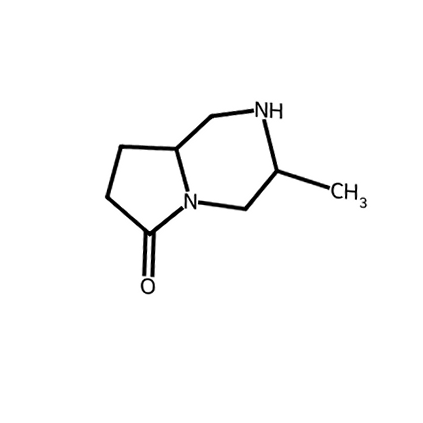 CC1CN2C(=O)CCC2CN1